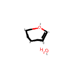 C1=COCC1.O